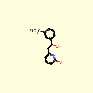 CCOC(=O)c1cccc([C@@H](O)Cc2cccc(Br)n2)c1